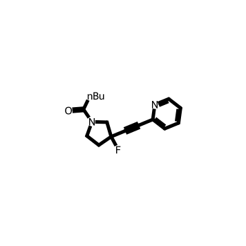 CCCCC(=O)N1CCC(F)(C#Cc2ccccn2)C1